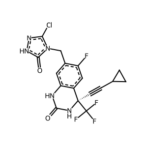 O=C1Nc2cc(Cn3c(Cl)n[nH]c3=O)c(F)cc2[C@@](C#CC2CC2)(C(F)(F)F)N1